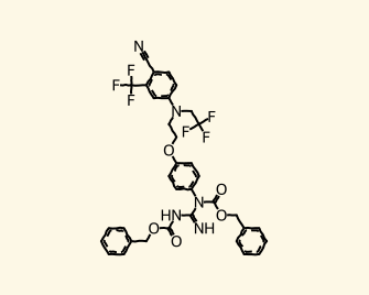 N#Cc1ccc(N(CCOc2ccc(N(C(=N)NC(=O)OCc3ccccc3)C(=O)OCc3ccccc3)cc2)CC(F)(F)F)cc1C(F)(F)F